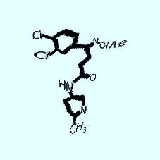 CO/N=C(\CCC(=O)Nc1ccc(C)nc1)c1ccc(Cl)c(Cl)c1